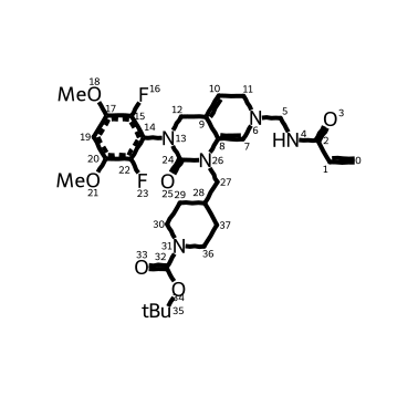 C=CC(=O)NCN1C=C2C(=CC1)CN(c1c(F)c(OC)cc(OC)c1F)C(=O)N2CC1CCN(C(=O)OC(C)(C)C)CC1